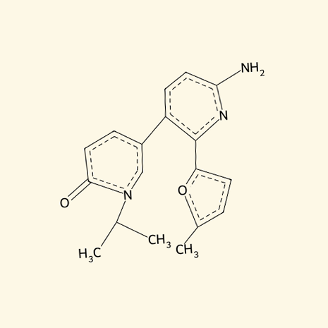 Cc1ccc(-c2nc(N)ccc2-c2ccc(=O)n(C(C)C)c2)o1